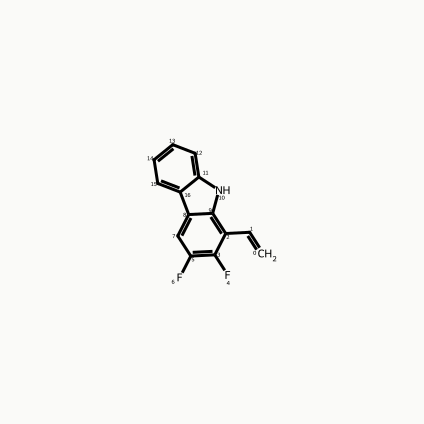 C=Cc1c(F)c(F)cc2c1[nH]c1ccccc12